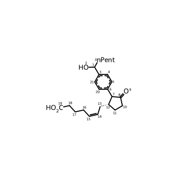 CCCCCC(O)c1ccc(C2C(=O)CC[C@@H]2C/C=C\CCCC(=O)O)cc1